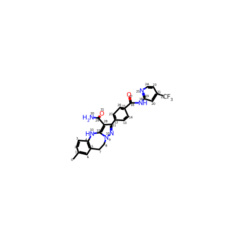 Cc1ccc2c(c1)CCn1nc(-c3ccc(C(=O)Nc4cc(C(F)(F)F)ccn4)cc3)c(C(N)=O)c1N2